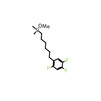 CO[Si](C)(C)CCCCCCc1cc(F)c(F)cc1F